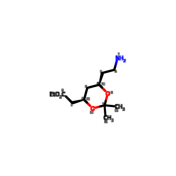 CCOC(=O)C[C@H]1C[C@@H](CCN)OC(C)(C)O1